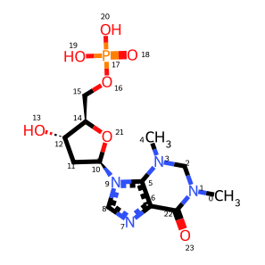 CN1CN(C)c2c(ncn2[C@H]2C[C@H](O)[C@@H](COP(=O)(O)O)O2)C1=O